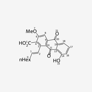 CCCCCC/C=C/c1c(C(=O)O)c(OC)cc2c1C(=O)c1c(O)cccc1C2=O